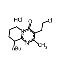 CCCCC1CCCn2c1nc(C)c(CCCl)c2=O.Cl